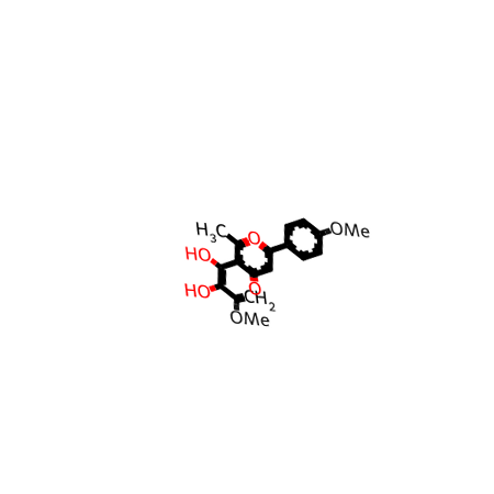 C=C(OC)/C(O)=C(/O)c1c(C)oc(-c2ccc(OC)cc2)cc1=O